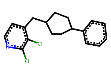 Clc1nccc(CC2CCC(c3ccccc3)CC2)c1Cl